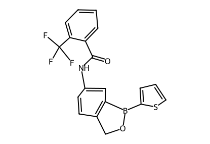 O=C(Nc1ccc2c(c1)B(c1cccs1)OC2)c1ccccc1C(F)(F)F